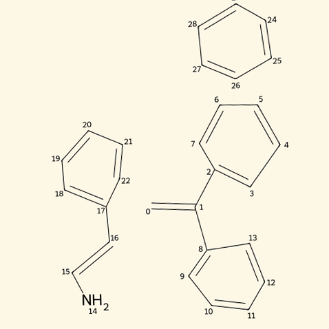 C=C(c1ccccc1)c1ccccc1.NC=Cc1ccccc1.c1ccccc1